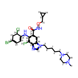 CN1CCN(CCCCCn2cnc3c(F)c(NC4=CC=C(Br)CC4Cl)c(C(=O)NOCC4CC4)cc32)CC1